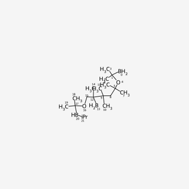 BC(C)(C)OC(C)(C)CC(C)(C)C(B)(C)COC(C)(C)BC(C)C